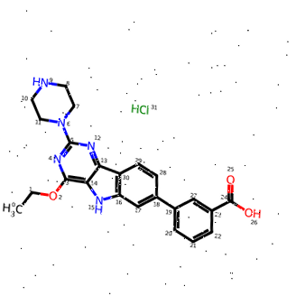 CCOc1nc(N2CCNCC2)nc2c1[nH]c1cc(-c3cccc(C(=O)O)c3)ccc12.Cl